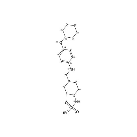 CC(C)(C)S(=O)(=O)NC1CCC(CNc2ccc(OC3CCCCC3)cc2)CC1